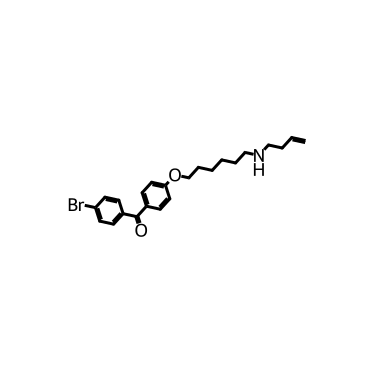 C=CCCNCCCCCCOc1ccc(C(=O)c2ccc(Br)cc2)cc1